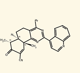 CC(C)c1nc(-c2ccnc3ccccc23)nc2c1CC[C@@H]1[C@@H](C)C(=O)C(C#N)=C[C@@]21C